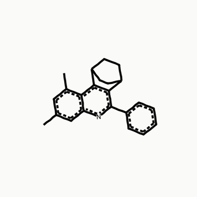 Cc1cc(C)c2c3c(c(-c4ccccc4)nc2c1)C1CCC3CC1